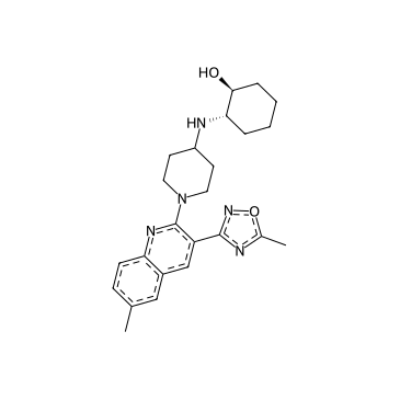 Cc1ccc2nc(N3CCC(N[C@H]4CCCC[C@@H]4O)CC3)c(-c3noc(C)n3)cc2c1